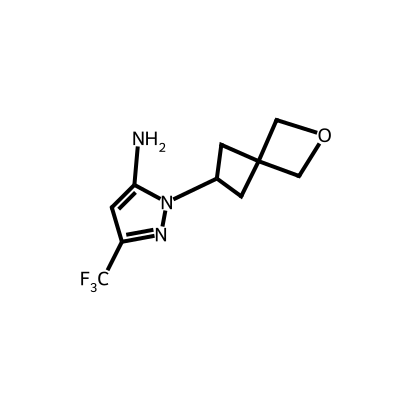 Nc1cc(C(F)(F)F)nn1C1CC2(COC2)C1